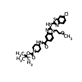 COCCn1c(Nc2nc3ccc(Cl)cc3s2)nc2cc(C(=O)NC3CCN(C(=O)OC(C)(C)C)CC3)ccc21